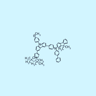 COc1ccc(-n2c3ccc(-c4ccc(C(CC(C)(C)C)C(C)(C)C)cc4)cc3c3cc(-c4ccc(N(c5ccc(-c6ccccc6)cc5)c5ccc6c(c5)C(C)(C)c5ccccc5-6)cc4)ccc32)cc1